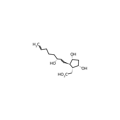 C=CCCC[C@@H](O)C=C[C@@H]1[C@@H](CC(=O)O)[C@@H](O)C[C@H]1O